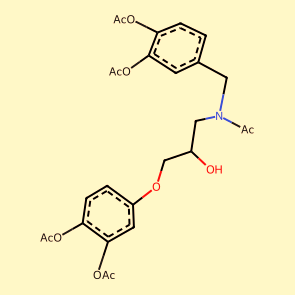 CC(=O)Oc1ccc(CN(CC(O)COc2ccc(OC(C)=O)c(OC(C)=O)c2)C(C)=O)cc1OC(C)=O